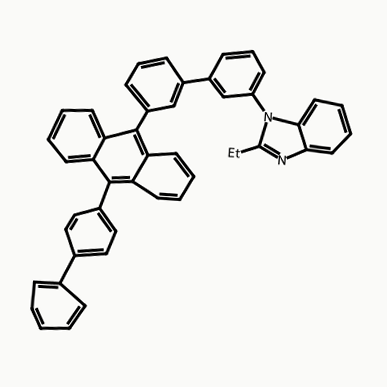 CCc1nc2ccccc2n1-c1cccc(-c2cccc(-c3c4ccccc4c(-c4ccc(-c5ccccc5)cc4)c4ccccc34)c2)c1